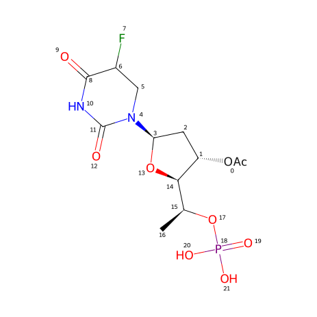 CC(=O)O[C@H]1C[C@H](N2CC(F)C(=O)NC2=O)O[C@@H]1[C@H](C)OP(=O)(O)O